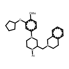 COc1ccc(N2CCN(C(C)=O)C(CN3CCc4ccccc4C3)C2)cc1OC1CCCC1